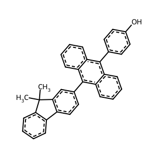 CC1(C)c2ccccc2-c2ccc(-c3c4ccccc4c(-c4ccc(O)cc4)c4ccccc34)cc21